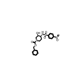 O=C(OCc1ccccc1)N1CC[C@H](NS(=O)(=O)c2ccc([N+](=O)[O-])cc2)[C@H](O)C1